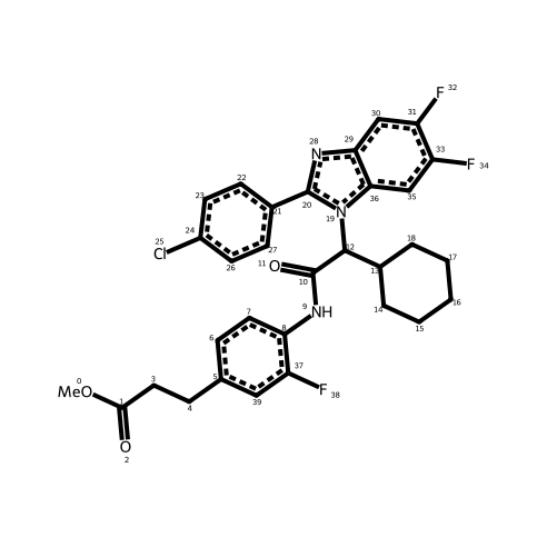 COC(=O)CCc1ccc(NC(=O)C(C2CCCCC2)n2c(-c3ccc(Cl)cc3)nc3cc(F)c(F)cc32)c(F)c1